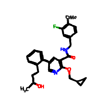 COc1ccc(CNC(=O)c2cc(-c3ccccc3CCC(C)O)cnc2OCC2CC2)cc1F